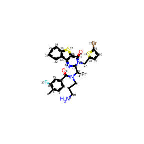 Cc1ccc(C(=O)N(CCCN)C(c2nc3c(sc4ccccc43)c(=O)n2Cc2ccc(Br)s2)C(C)C)cc1F